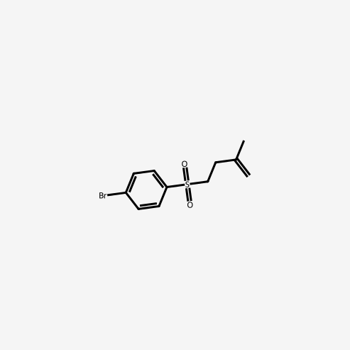 C=C(C)CCS(=O)(=O)c1ccc(Br)cc1